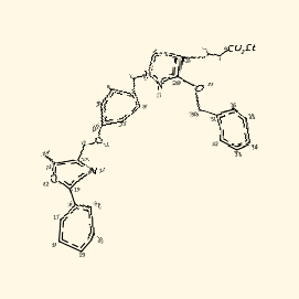 CCOC(=O)CCc1cn(Cc2ccc(OCc3nc(-c4ccccc4)oc3C)cc2)nc1OCc1ccccc1